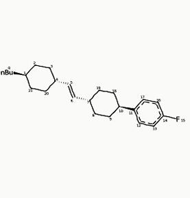 CCCC[C@H]1CC[C@H](C=C[C@H]2CC[C@H](c3ccc(F)cc3)CC2)CC1